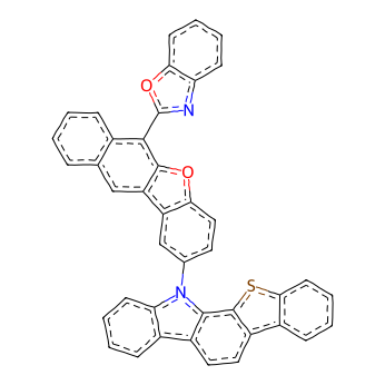 c1ccc2c(-c3nc4ccccc4o3)c3oc4ccc(-n5c6ccccc6c6ccc7c8ccccc8sc7c65)cc4c3cc2c1